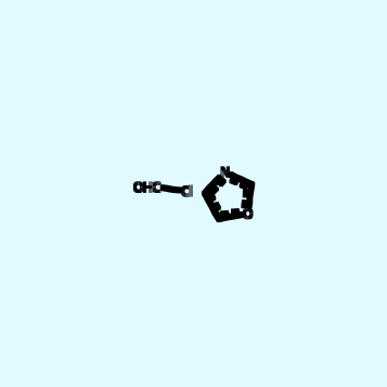 O=CCl.c1cocn1